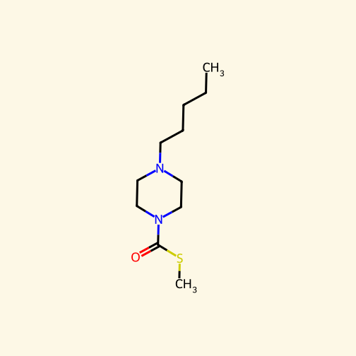 CCCCCN1CCN(C(=O)SC)CC1